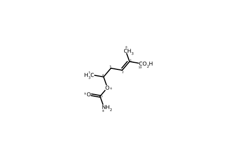 CC(=CCC(C)OC(N)=O)C(=O)O